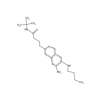 CCCCNc1cc2ccc(CCCC(=O)NC(C)(C)C)cc2nc1N